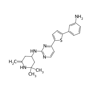 C=C1CC(Nc2nccc(-c3ccc(-c4cccc(N)c4)s3)n2)CC(C)(C)N1